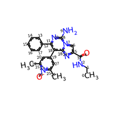 CCNC(=O)c1cn2c(N)nc(-c3ccccc3)c(-c3cc(C)[n+]([O-])c(C)c3)c2n1